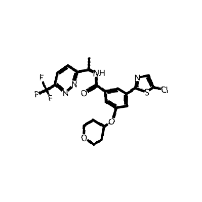 CC(NC(=O)c1cc(OC2CCOCC2)cc(-c2ncc(Cl)s2)c1)c1ccc(C(F)(F)F)nn1